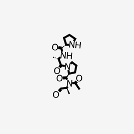 CC(=O)N(C(=O)[C@@H]1CCCN1C(=O)[C@H](C)NC(=O)[C@@H]1CCCN1)[C@@H](C)C=O